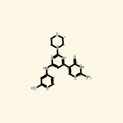 Cc1cc(Nc2cc(-c3cnc(N)[nH]c3=O)nc(N3CCOCC3)n2)ccn1